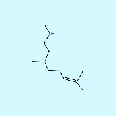 CC(C)=CCCC(C)CCN(C)C